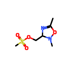 CC1=NC(COS(C)(=O)=O)N(C)O1